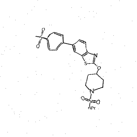 CCCS(=O)(=O)N1CCC(Oc2nc3ccc(-c4ccc(S(C)(=O)=O)cc4)cc3s2)CC1